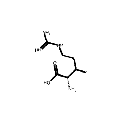 CC(CCNC(=N)N)[C@H](N)C(=O)O